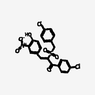 O=C(/C(=C/c1ccc(O)c([N+](=O)[O-])c1)S(=O)(=O)Cc1ccc(Cl)cc1)c1ccc(Cl)cc1